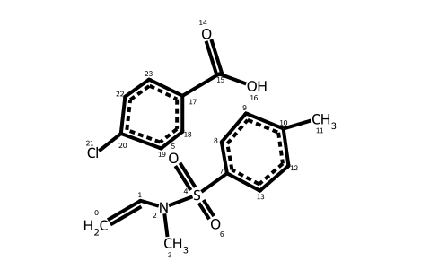 C=CN(C)S(=O)(=O)c1ccc(C)cc1.O=C(O)c1ccc(Cl)cc1